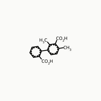 Cc1ccc(-c2ccccc2C(=O)O)c(C)c1C(=O)O